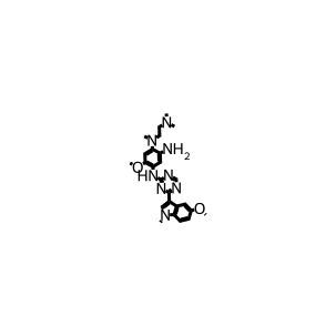 COc1ccc2c(c1)c(-c1ncnc(Nc3cc(N)c(N(C)CCN(C)C)cc3OC)n1)cn2C